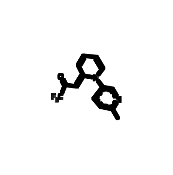 Cc1ccc(N2C=CC=C/C2=C\C(=O)C(F)(F)F)cn1